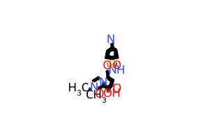 CC(C)N1CCn2c(CNS(=O)(=O)c3ccc(C#N)cc3)cc(=O)c(O)c2C1=O